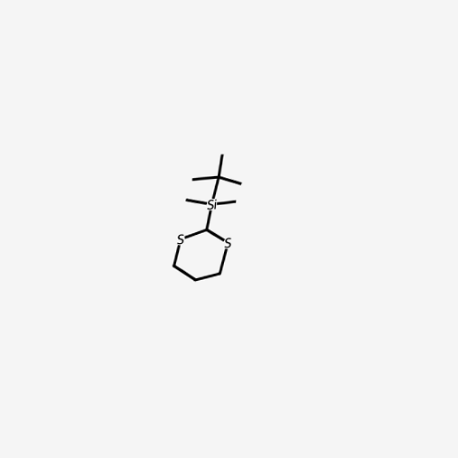 CC(C)(C)[Si](C)(C)C1SCCCS1